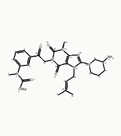 COC(=O)N(C)c1cccc(C(=O)Cn2c(=O)c3c(nc(N4CCCC(N)C4)n3CC=C(C)C)n(C)c2=O)c1